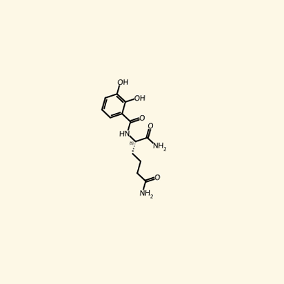 NC(=O)CCC[C@H](NC(=O)c1cccc(O)c1O)C(N)=O